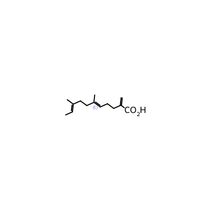 C=C(CC/C=C(\C)CCC(C)=CC)C(=O)O